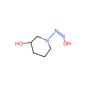 O/N=N\N1CCCC(O)C1